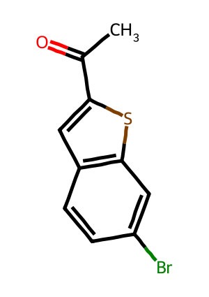 CC(=O)c1cc2ccc(Br)cc2s1